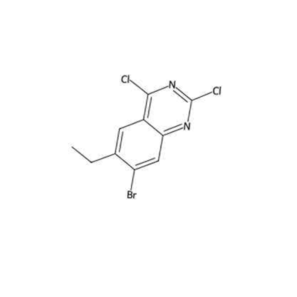 CCc1cc2c(Cl)nc(Cl)nc2cc1Br